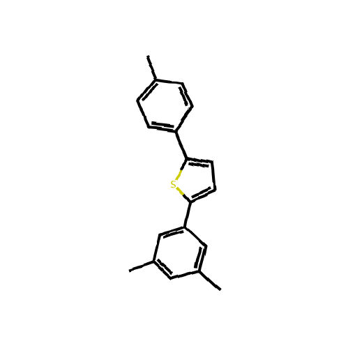 Cc1ccc(-c2ccc(-c3cc(C)cc(C)c3)s2)cc1